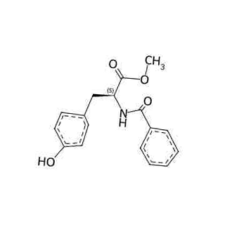 COC(=O)[C@H](Cc1ccc(O)cc1)NC(=O)c1ccccc1